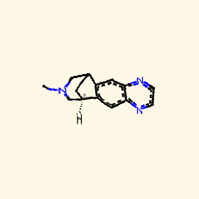 CN1CC2C[C@H](C1)c1cc3nccnc3cc12